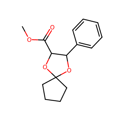 COC(=O)C1OC2(CCCC2)OC1c1ccccc1